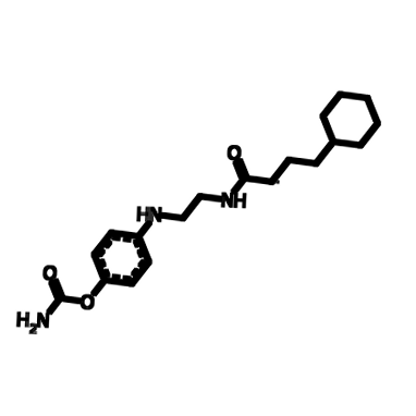 NC(=O)Oc1ccc(NCCNC(=O)[CH]CCC2CCCCC2)cc1